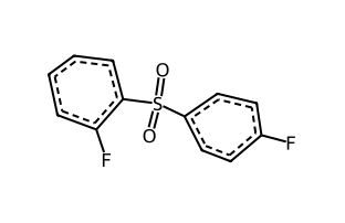 O=S(=O)(c1ccc(F)cc1)c1ccccc1F